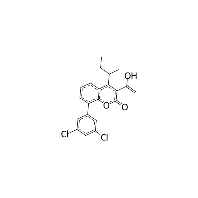 C=C(O)c1c(C(C)CC)c2cccc(-c3cc(Cl)cc(Cl)c3)c2oc1=O